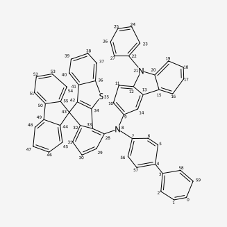 c1ccc(-c2ccc(N(c3ccc4c(c3)c3ccccc3n4-c3ccccc3)c3cccc4c3-c3sc5ccccc5c3C43c4ccccc4-c4ccccc43)cc2)cc1